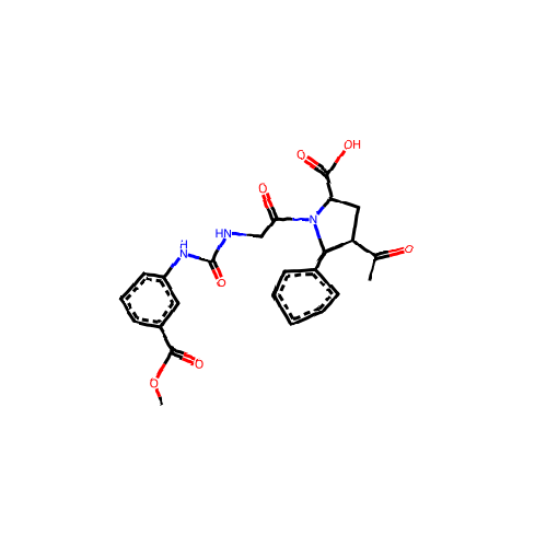 COC(=O)c1cccc(NC(=O)NCC(=O)N2C(C(=O)O)CC(C(C)=O)C2c2ccccc2)c1